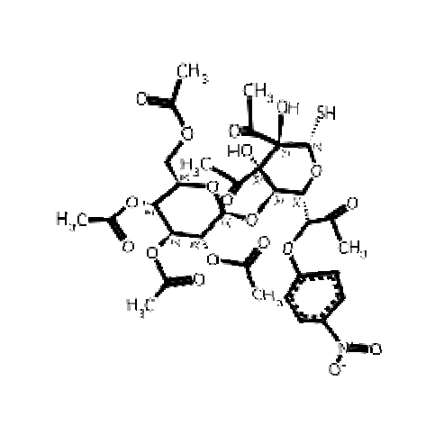 CC(=O)OC[C@H]1O[C@@H](O[C@@H]2[C@@H](C(Oc3ccc([N+](=O)[O-])cc3)C(C)=O)O[C@@H](S)[C@@](O)(C(C)=O)[C@]2(O)C(C)=O)[C@H](OC(C)=O)[C@@H](OC(C)=O)[C@@H]1OC(C)=O